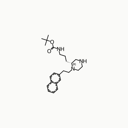 CC(C)(C)OC(=O)NCCC[C@@H]1CNCCN1CCc1ccc2ccccc2c1